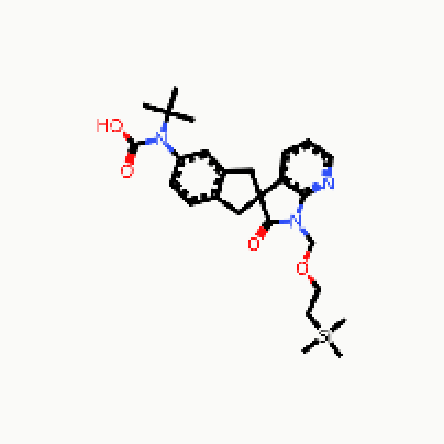 CC(C)(C)N(C(=O)O)c1ccc2c(c1)CC1(C2)C(=O)N(COCC[Si](C)(C)C)c2ncccc21